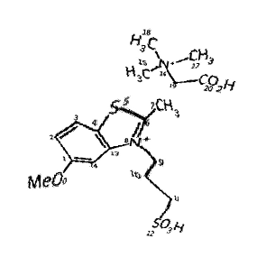 COc1ccc2sc(C)[n+](CCCS(=O)(=O)O)c2c1.C[N+](C)(C)CC(=O)O